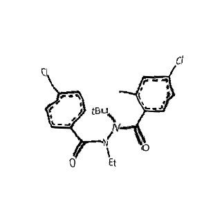 CCN(C(=O)c1ccc(Cl)cc1)N(C(=O)c1ccc(Cl)cc1C)C(C)(C)C